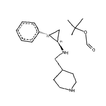 CC(C)(C)OC=O.c1ccc([C@@H]2C[C@H]2NCC2CCNCC2)cc1